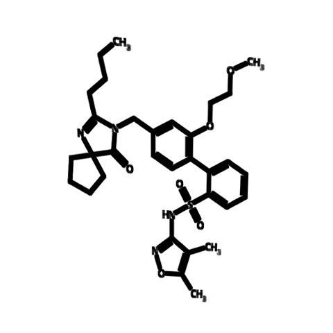 CCCCC1=NC2(CCCC2)C(=O)N1Cc1ccc(-c2ccccc2S(=O)(=O)Nc2noc(C)c2C)c(OCCOC)c1